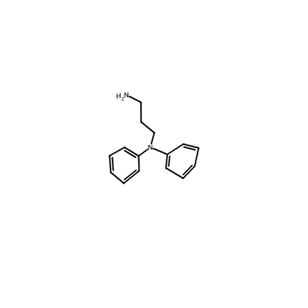 NCCCN(c1ccccc1)c1ccccc1